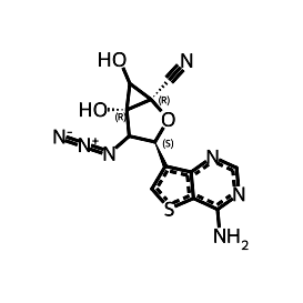 N#C[C@]12O[C@@H](c3csc4c(N)ncnc34)C(N=[N+]=[N-])[C@@]1(O)C2O